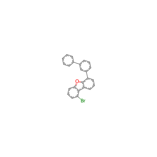 Brc1cccc2oc3c(-c4cccc(-c5ccccc5)c4)cccc3c12